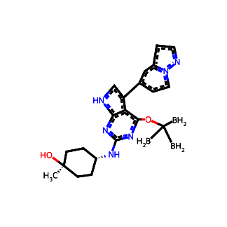 BC(B)(B)Oc1nc(N[C@H]2CC[C@](C)(O)CC2)nc2[nH]cc(-c3ccn4nccc4c3)c12